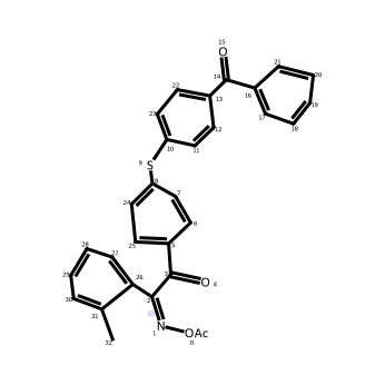 CC(=O)O/N=C(\C(=O)c1ccc(Sc2ccc(C(=O)c3ccccc3)cc2)cc1)c1ccccc1C